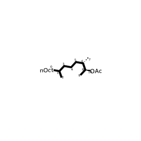 CCCCCCCCC(C)CCC[C@H](C)[C@H](C)OC(C)=O